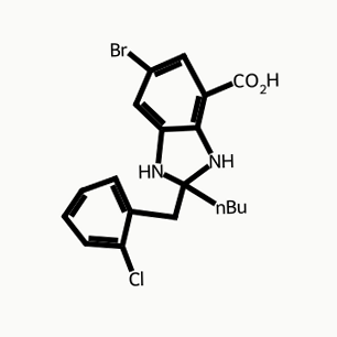 CCCCC1(Cc2ccccc2Cl)Nc2cc(Br)cc(C(=O)O)c2N1